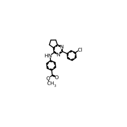 COC(=O)c1ccc(Nc2nc(-c3cccc(Cl)c3)nc3c2CCC3)cc1